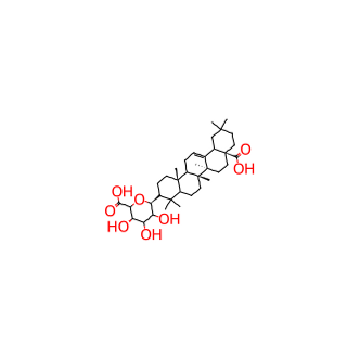 CC1(C)CC[C@]2(C(=O)O)CC[C@]3(C)C(=CCC4[C@@]5(C)CCC([C@@H]6OC(C(=O)O)[C@H](O)C(O)C6O)C(C)(C)C5CC[C@]43C)C2C1